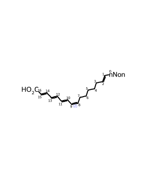 CCCCCCCCCC=CCCCCC/C=C\C=CC=CC=CC(=O)O